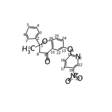 CC1(c2ccccc2)CC(=O)c2cc(Oc3ccc([N+](=O)[O-])cn3)ccc2O1